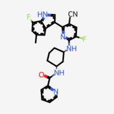 Cc1cc(F)c2[nH]cc(-c3nc(N[C@@H]4CCC[C@@H](NC(=O)c5ccccn5)C4)c(F)cc3C#N)c2c1